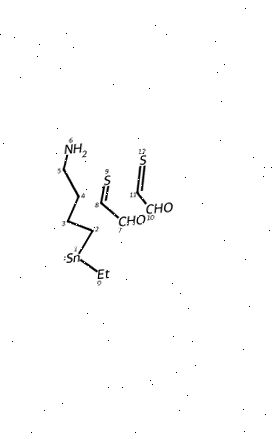 C[CH2][Sn][CH2]CCCN.O=CC=S.O=CC=S